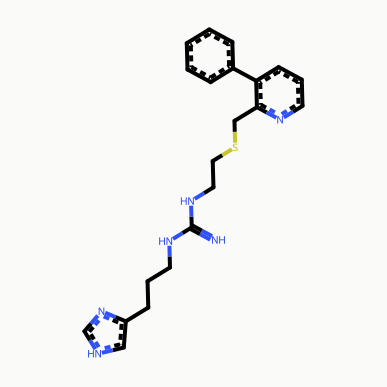 N=C(NCCCc1c[nH]cn1)NCCSCc1ncccc1-c1ccccc1